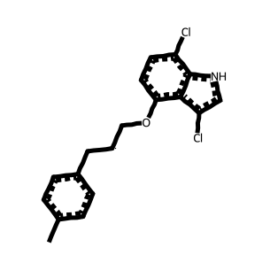 Cc1ccc(C[CH]COc2ccc(Cl)c3[nH]cc(Cl)c23)cc1